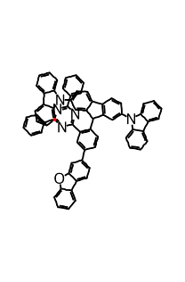 c1ccc(-c2nc(-c3ccccc3)nc(-c3cc(-c4ccc5c(c4)oc4ccccc45)ccc3C3c4cc(-n5c6ccccc6c6ccccc65)ccc4-c4ccc(-n5c6ccccc6c6ccccc65)cc43)n2)cc1